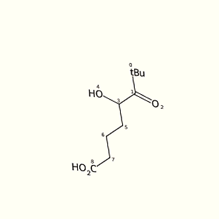 CC(C)(C)C(=O)C(O)CCCC(=O)O